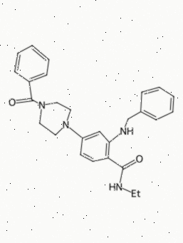 CCNC(=O)c1ccc(N2CCN(C(=O)c3ccccc3)CC2)cc1NCc1ccccc1